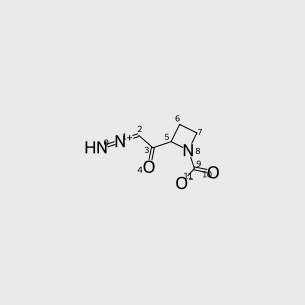 N=[N+]=CC(=O)C1CCN1C(=O)[O-]